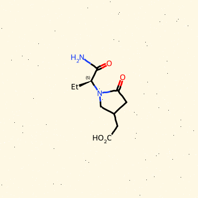 CC[C@@H](C(N)=O)N1CC(CC(=O)O)CC1=O